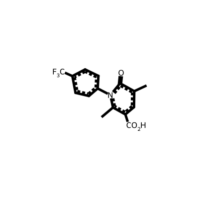 Cc1cc(C(=O)O)c(C)n(-c2ccc(C(F)(F)F)cc2)c1=O